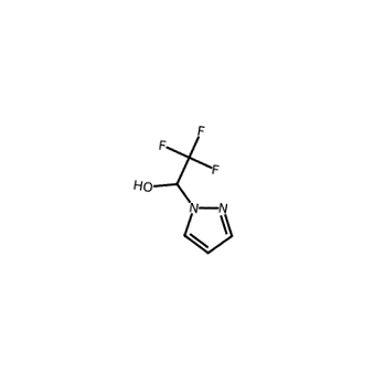 OC(n1cccn1)C(F)(F)F